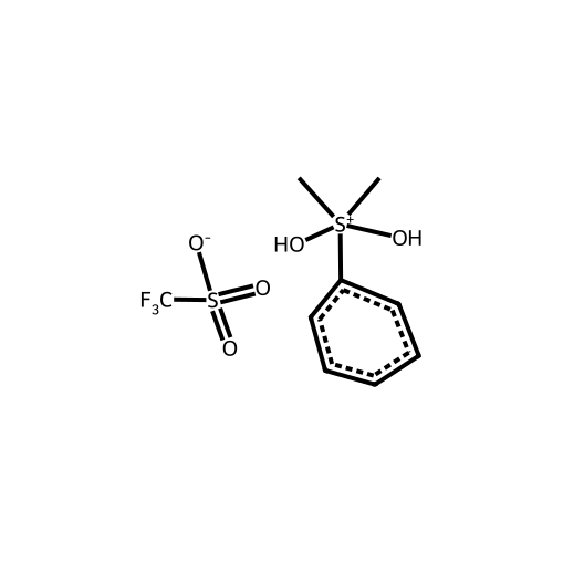 C[S+](C)(O)(O)c1ccccc1.O=S(=O)([O-])C(F)(F)F